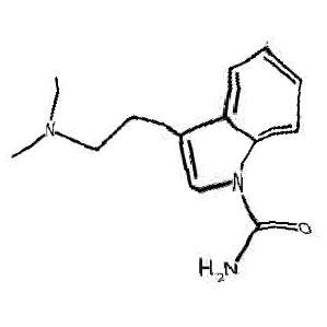 CN(C)CCc1cn(C(N)=O)c2cc[c]cc12